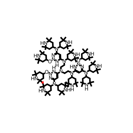 CC1(C)CC(ON2N=C(N(C3CC(C)(C)NC(C)(C)C3)C3CC(C)(C)NC(C)(C)C3)C=C(N(CCN(C3=CC(N(C4CC(C)(C)NC(C)(C)C4)C4CC(C)(C)NC(C)(C)C4)=NN(OC4CC(C)(C)NC(C)(C)C4)N3)C3CC(C)(C)NC(C)(C)C3)CCN(C3=CC(N(C4CC(C)(C)NC(C)(C)C4)C4CC(C)(C)NC(C)(C)C4)=NN(OC4CC(C)(C)NC(C)(C)C4)N3)C3CC(C)(C)NC(C)(C)C3)N2)CC(C)(C)N1